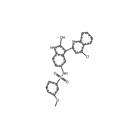 COc1cccc(S(=O)(=O)Nc2ccc3[nH]c(O)c(-c4cc(Cl)c5ccccc5n4)c3c2)c1